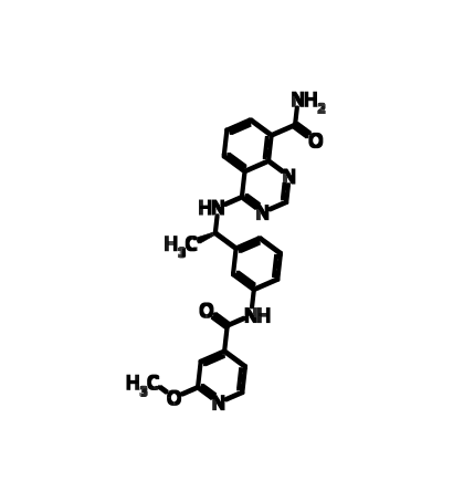 COc1cc(C(=O)Nc2cccc([C@@H](C)Nc3ncnc4c(C(N)=O)cccc34)c2)ccn1